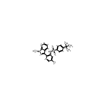 Cn1nc(-c2ncc(Cl)cc2NS(=O)(=O)c2ccc(C(C)(C)C)cc2)c2cccnc21